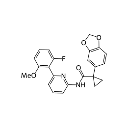 COc1cccc(F)c1-c1cccc(NC(=O)C2(c3ccc4c(c3)OCO4)CC2)n1